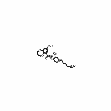 CNCCCCN1CC[C@@H](CNC(=O)c2cc(OC)cc3c2OCCCO3)[C@H](O)C1